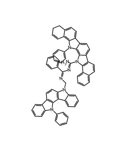 N/C(=N\C(=N/Cn1c2ccccc2c2c1ccc1c3ccccc3n(-c3ccccc3)c12)c1ccccc1)n1c2c3ccccc3ccc2c2ccc3c4ccc5c(c4n(-c4ccccc4)c3c21)C=CCC5